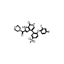 Cn1cc(-c2cc(S(C)(=O)=O)ccc2Oc2ccc(F)cc2F)c2cc(C(=O)N3CCOCC3)[nH]c2c1=O